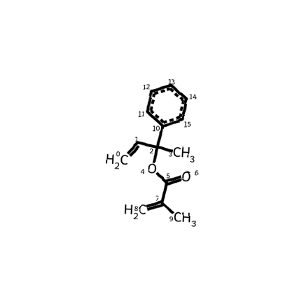 C=CC(C)(OC(=O)C(=C)C)c1ccccc1